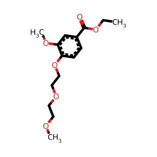 CCOC(=O)c1ccc(OCCOCCOC)c(OC)c1